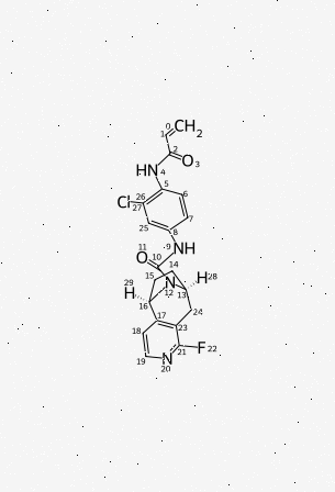 C=CC(=O)Nc1ccc(NC(=O)N2[C@H]3CC[C@@H]2c2ccnc(F)c2C3)cc1Cl